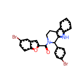 O=C(c1cc2cc(Br)ccc2o1)N1CCc2c([nH]c3ccccc23)C1c1ccc(Br)cc1